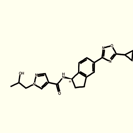 CC(O)Cn1cc(C(=O)N[C@@H]2CCc3cc(-c4noc(C5CC5)n4)ccc32)cn1